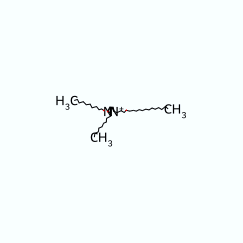 CCCCCCCCCCCCCCCCC[n+]1ccn(CCCCCCCCCCC)c1CCCCCCCCC